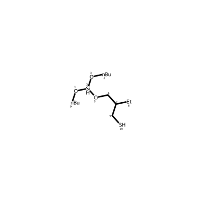 CCCCO[SiH](OCCCC)OCC(CC)CS